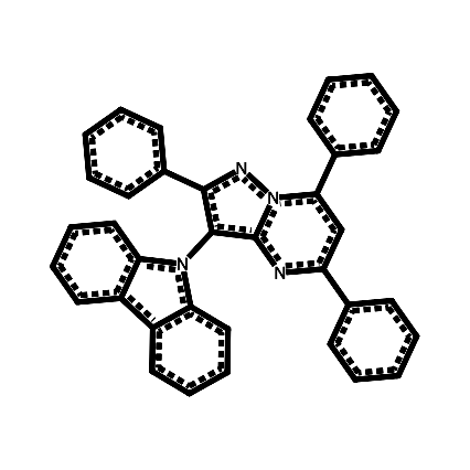 c1ccc(-c2cc(-c3ccccc3)n3nc(-c4ccccc4)c(-n4c5ccccc5c5ccccc54)c3n2)cc1